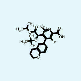 Cc1nc(C(=O)O)c(Br)c(-c2ccc3c(c2)CCCO3)c1C(OC(C)(C)C)C(=O)OC(C)C